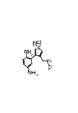 Cl.Cl.Nc1ccc(N)c(-c2cscc2CNC2CC2)c1